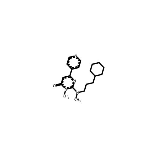 CN(CCCC1CCCCC1)c1nc(-c2ccncc2)cc(=O)n1C